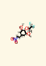 [2H]C(Oc1c(OC)cc(C=C[N+](=O)[O-])cc1OC)=C(F)F